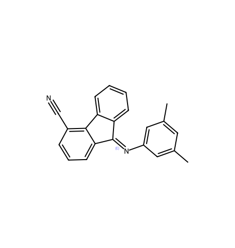 Cc1cc(C)cc(/N=C2\c3ccccc3-c3c(C#N)cccc32)c1